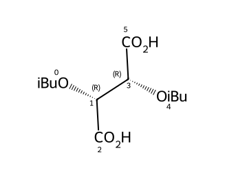 CC(C)CO[C@@H](C(=O)O)[C@@H](OCC(C)C)C(=O)O